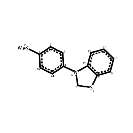 CSc1ccc(N2CSc3ccccc32)cc1